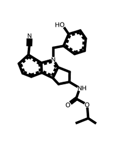 CC(C)OC(=O)NC1Cc2c(n(Cc3ccccc3O)c3c(C#N)cccc23)C1